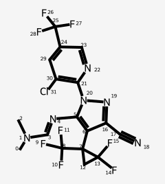 CN(C)C=Nc1c(C2(C(F)(F)F)CC2(F)F)c(C#N)nn1-c1ncc(C(F)(F)F)cc1Cl